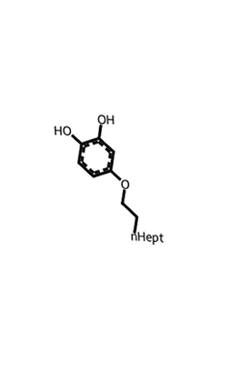 CCCCCCCCCOc1ccc(O)c(O)c1